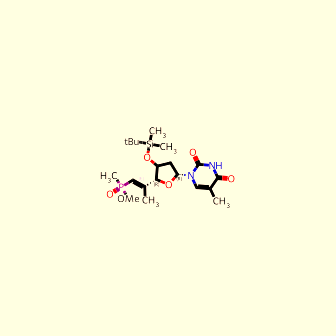 COP(C)(=O)/C=C(\C)[C@H]1O[C@@H](n2cc(C)c(=O)[nH]c2=O)CC1O[Si](C)(C)C(C)(C)C